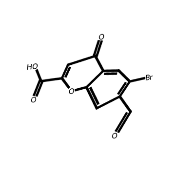 O=Cc1cc2oc(C(=O)O)cc(=O)c2cc1Br